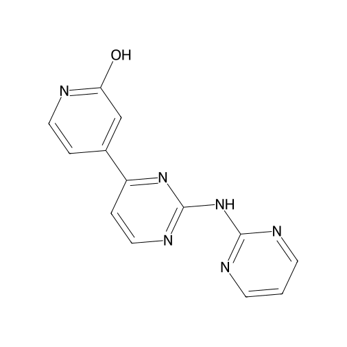 Oc1cc(-c2ccnc(Nc3ncccn3)n2)ccn1